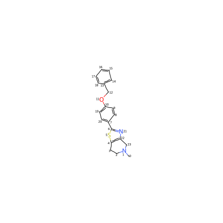 CN1CCc2sc(-c3ccc(OCc4ccccc4)cc3)nc2C1